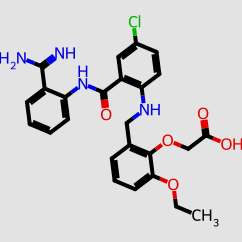 CCOc1cccc(CNc2ccc(Cl)cc2C(=O)Nc2ccccc2C(=N)N)c1OCC(=O)O